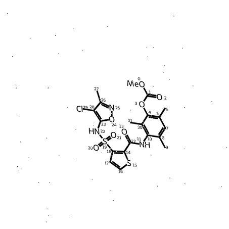 COC(=O)Oc1c(C)cc(C)c(NC(=O)c2sccc2S(=O)(=O)Nc2onc(C)c2Cl)c1C